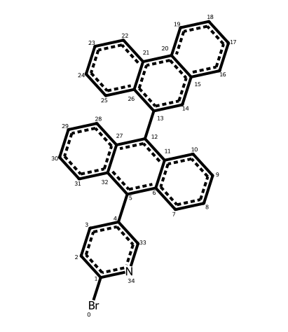 Brc1ccc(-c2c3ccccc3c(-c3cc4ccccc4c4ccccc34)c3ccccc23)cn1